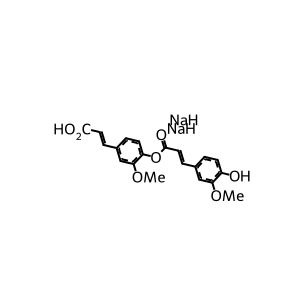 COc1cc(C=CC(=O)Oc2ccc(C=CC(=O)O)cc2OC)ccc1O.[NaH].[NaH]